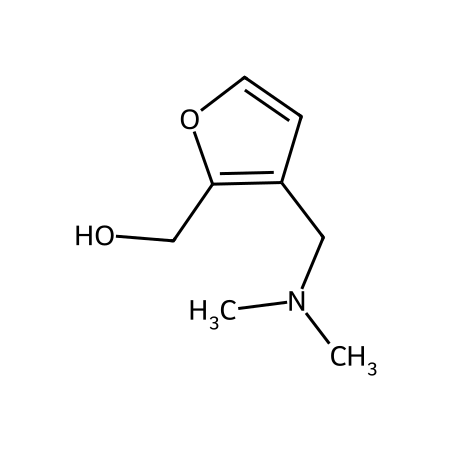 CN(C)Cc1ccoc1CO